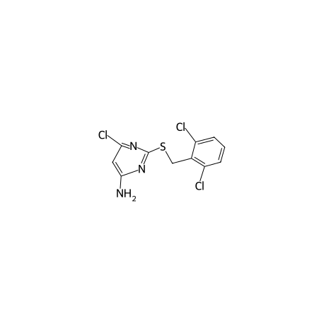 Nc1cc(Cl)nc(SCc2c(Cl)cccc2Cl)n1